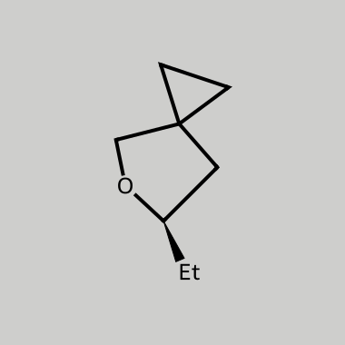 CC[C@@H]1CC2(CC2)CO1